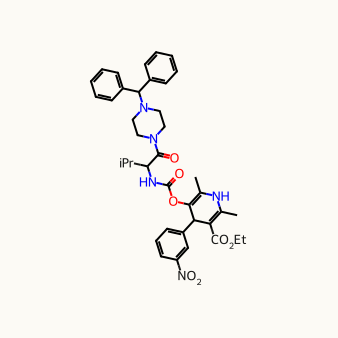 CCOC(=O)C1=C(C)NC(C)=C(OC(=O)NC(C(=O)N2CCN(C(c3ccccc3)c3ccccc3)CC2)C(C)C)C1c1cccc([N+](=O)[O-])c1